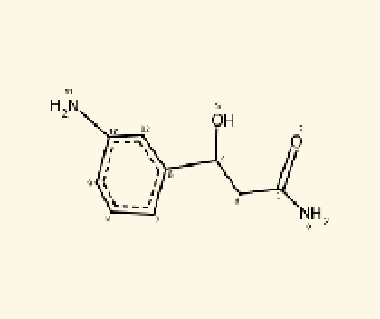 NC(=O)CC(O)c1cccc(N)c1